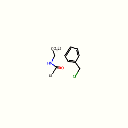 CCOC(=O)CNC(=O)CC.ClCc1ccccc1